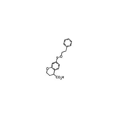 O=C(O)C1CCOc2cc(SOCCc3ccccc3)ccc21